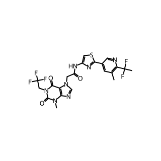 Cc1cc(-c2nc(NC(=O)Cn3cnc4c3c(=O)n(CC(F)(F)F)c(=O)n4C)cs2)cnc1C(C)(F)F